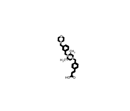 C[C@@H]1CN(Cc2ccc(C=CC(=O)O)cc2)C[C@H](C)N1Cc1cccc(CN2CCOCC2)c1